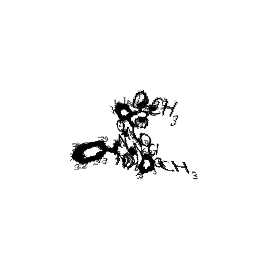 COc1cccc(-n2c(=O)n(Cc3ccccc3S(C)(=O)=O)c(=O)n(CC(N)c3ccccc3)c2=O)c1Cl